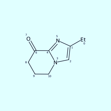 CCc1cn2c(n1)C(=O)CCC2